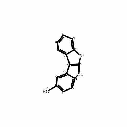 Oc1ccc2sc3sc4ccccc4c3c2c1